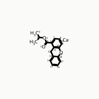 CC(C)OC(=O)c1cccc2c1Cc1ccccc1O2.[Ca]